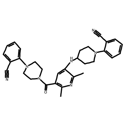 Cc1nc(C)c(C(=O)N2CCN(c3ccccc3C#N)CC2)cc1NC1CCN(c2ccccc2C#N)CC1